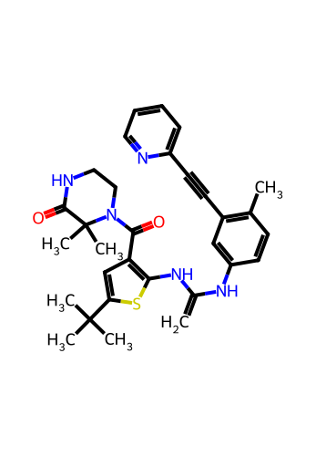 C=C(Nc1ccc(C)c(C#Cc2ccccn2)c1)Nc1sc(C(C)(C)C)cc1C(=O)N1CCNC(=O)C1(C)C